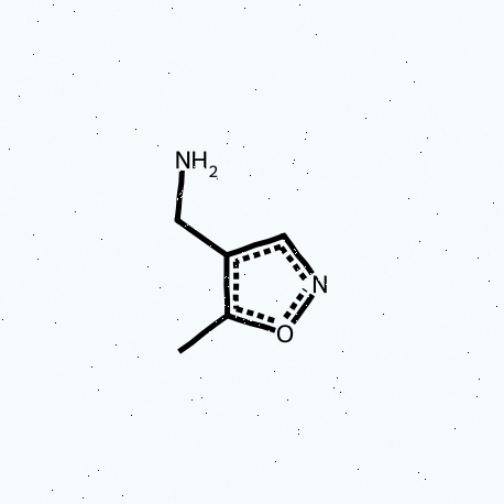 Cc1oncc1CN